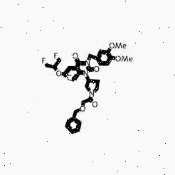 COc1ccc(Cn2c(=O)c3cc(OC(CF)CF)ccc3n(C3CCN(C(=O)COCc4ccccc4)C3)c2=O)cc1OC